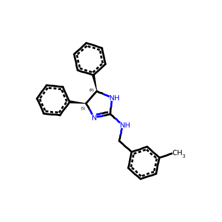 Cc1cccc(CNC2=N[C@@H](c3ccccc3)[C@@H](c3ccccc3)N2)c1